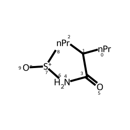 CCCC(CCC)C(N)=O.C[S+](C)[O-]